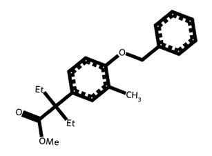 CCC(CC)(C(=O)OC)c1ccc(OCc2ccccc2)c(C)c1